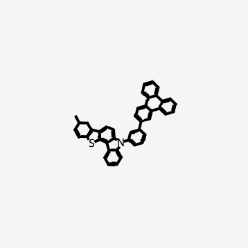 CC1C=Cc2sc3c(ccc4c3c3ccccc3n4-c3cccc(-c4ccc5c6ccccc6c6ccccc6c5c4)c3)c2C1